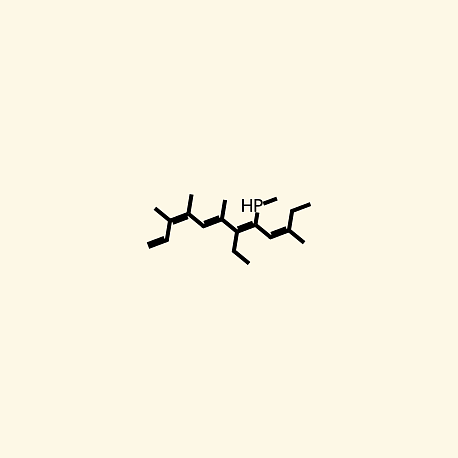 C=C\C(C)=C(C)/C=C(C)/C(CC)=C(/C=C(/C)CC)PC